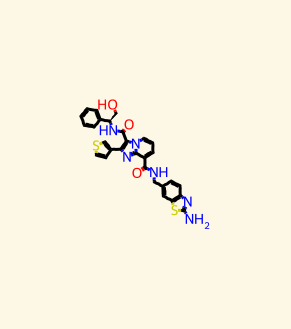 Nc1nc2ccc(CNC(=O)c3cccn4c(C(=O)N[C@H](CO)c5ccccc5)c(-c5ccsc5)nc34)cc2s1